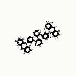 c1cc(-c2ncccc2-c2cccnc2-c2cccc(N3c4ccccc4Cc4ccccc43)c2)cc(N2c3ccccc3Cc3ccccc32)c1